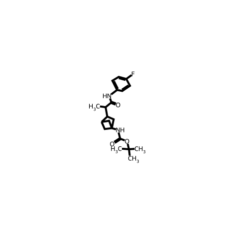 CC(C(=O)Nc1ccc(F)cc1)C1CC2(NC(=O)OC(C)(C)C)CC1C2